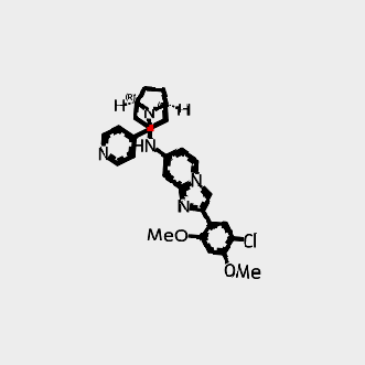 COc1cc(OC)c(-c2cn3ccc(NC4C[C@H]5CC[C@@H](C4)N5Cc4ccncc4)cc3n2)cc1Cl